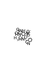 CC(NC(=O)c1ccnc2ccccc12)c1cc([N+](=O)[O-])cc2[nH]c(=O)c(=O)[nH]c12